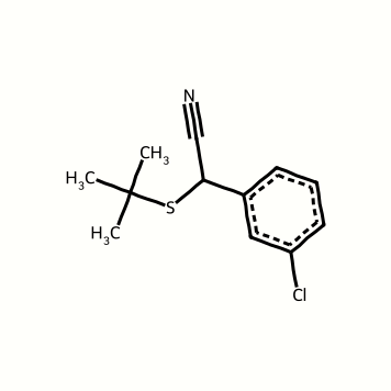 CC(C)(C)SC(C#N)c1cccc(Cl)c1